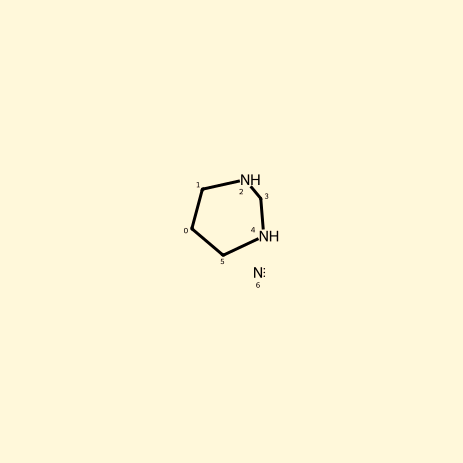 C1CNCNC1.[N]